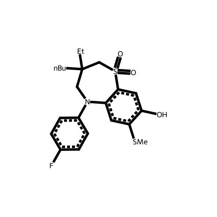 CCCCC1(CC)CN(c2ccc(F)cc2)c2cc(SC)c(O)cc2S(=O)(=O)C1